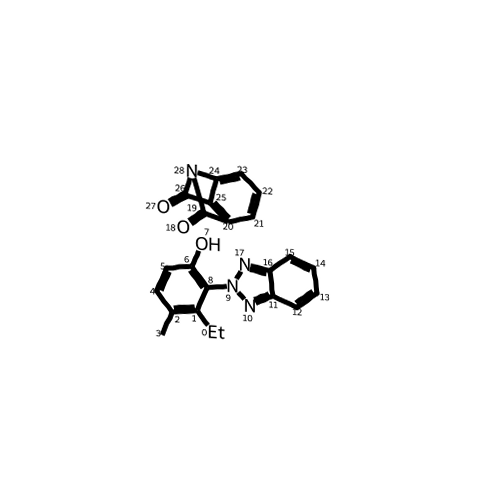 CCc1c(C)ccc(O)c1-n1nc2ccccc2n1.O=C1c2cccc3c2C(=O)N13